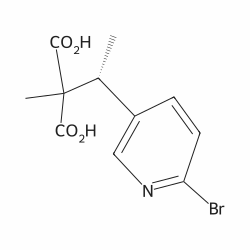 C[C@H](c1ccc(Br)nc1)C(C)(C(=O)O)C(=O)O